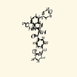 COc1ccc(C2CCOCC2)c2nc(NC(=O)c3ccc(CN4CCCC4=O)cc3)[nH]c12